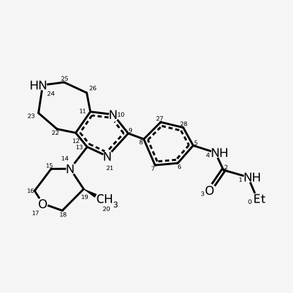 CCNC(=O)Nc1ccc(-c2nc3c(c(N4CCOC[C@@H]4C)n2)CCNCC3)cc1